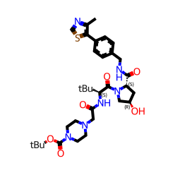 Cc1ncsc1-c1ccc(CNC(=O)[C@@H]2C[C@@H](O)CN2C(=O)[C@@H](NC(=O)CN2CCN(C(=O)OC(C)(C)C)CC2)C(C)(C)C)cc1